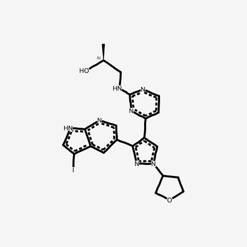 C[C@H](O)CNc1nccc(-c2cn(C3CCOC3)nc2-c2cnc3[nH]cc(I)c3c2)n1